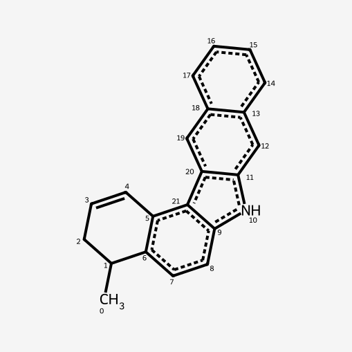 CC1CC=Cc2c1ccc1[nH]c3cc4ccccc4cc3c21